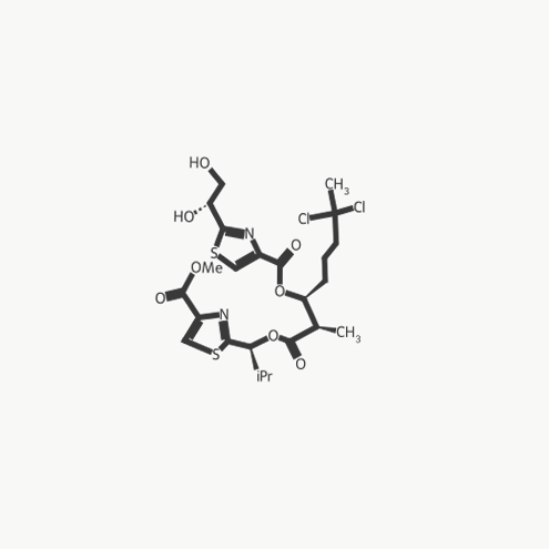 COC(=O)c1csc([C@@H](OC(=O)[C@H](C)[C@H](CCCC(C)(Cl)Cl)OC(=O)c2csc([C@H](O)CO)n2)C(C)C)n1